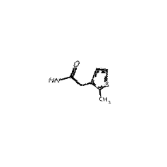 Cc1sccc1CC([NH])=O